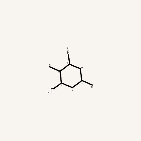 CC1CC(F)C(C)C(F)C1